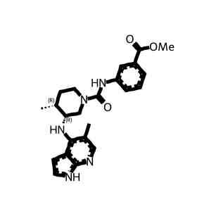 COC(=O)c1cccc(NC(=O)N2CC[C@@H](C)[C@@H](Nc3c(C)cnc4[nH]ccc34)C2)c1